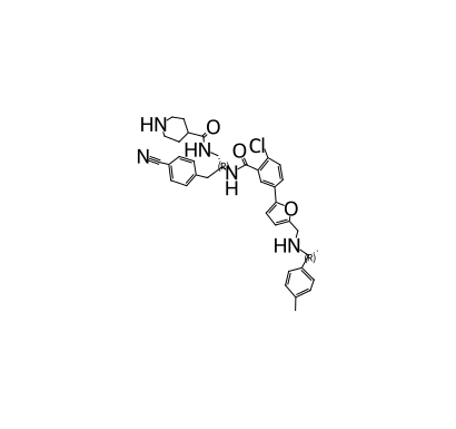 Cc1ccc([C@@H](C)NCc2ccc(-c3ccc(Cl)c(C(=O)N[C@@H](CNC(=O)C4CCNCC4)Cc4ccc(C#N)cc4)c3)o2)cc1